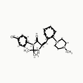 CN1CCN(c2ccccc2C=C2NC(C)(C)N(c3ccc(Cl)cc3)C2=O)CC1